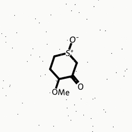 COC1CC[S+]([O-])CC1=O